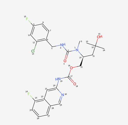 CN(C(=O)NCc1ccc(F)cc1Cl)[C@H](COC(=O)Nc1cc2c(F)cccc2cn1)CC(C)(C)O